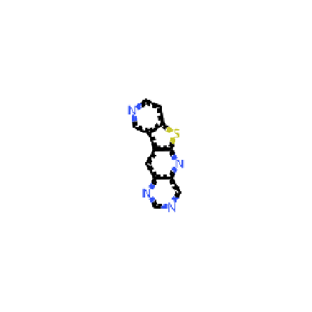 c1cc2sc3nc4cncnc4cc3c2cn1